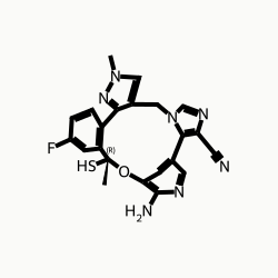 Cn1cc2c(n1)-c1ccc(F)cc1[C@@](C)(S)Oc1cc(cnc1N)-c1c(C#N)ncn1C2